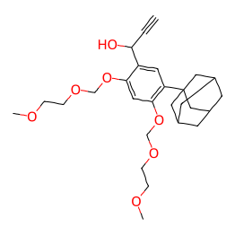 C#CC(O)c1cc(C23CC4CC(CC(C4)C2)C3)c(OCOCCOC)cc1OCOCCOC